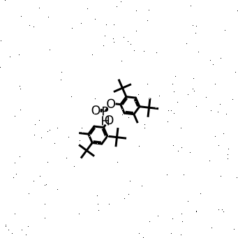 Cc1cc(O[PH](=O)Oc2cc(C)c(C(C)(C)C)cc2C(C)(C)C)c(C(C)(C)C)cc1C(C)(C)C